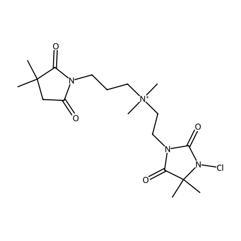 CC1(C)CC(=O)N(CCC[N+](C)(C)CCN2C(=O)N(Cl)C(C)(C)C2=O)C1=O